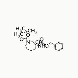 CC1(NC(=O)OCc2ccccc2)CCCCN(C(=O)OC(C)(C)C)C1